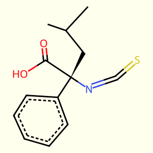 CC(C)C[C@](N=C=S)(C(=O)O)c1ccccc1